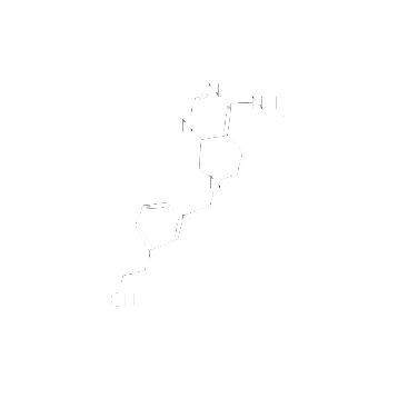 CCOc1cccc(CN2CCc3c(N)ncnc3C2)c1